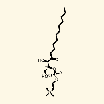 CCCCCCCCCCCC(=O)C(O)[C@H](CO)OP(=O)([O-])OCC[N+](C)(C)C